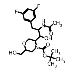 CC(=O)NC(Cc1cc(F)cc(F)c1)C(O)C1COC(CO)CN1C(=O)OC(C)(C)C